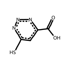 O=C(O)c1cc(S)nnn1